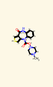 CN1CCN(OC(=O)N2c3ccccc3NC(=O)c3cscc32)CC1